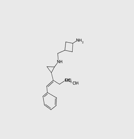 CC/C(=C\c1ccccc1)C1CC1NCC1CC(N)C1.Cl.Cl